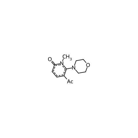 CC(=O)c1ccc(=O)n(C)c1N1CCOCC1